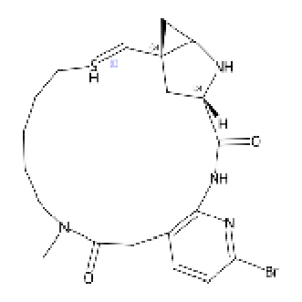 CN1CCCCC/[SH]=C/[C@]23CC2N[C@@H](C3)C(=O)Nc2nc(Br)ccc2CC1=O